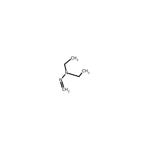 C=NN(CC)CC